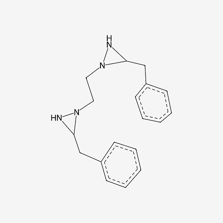 c1ccc(CC2NN2CCN2NC2Cc2ccccc2)cc1